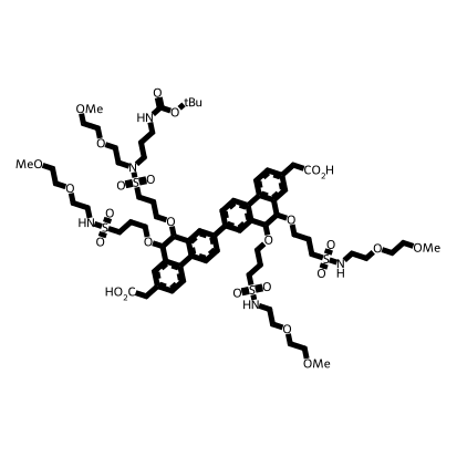 COCCOCCNS(=O)(=O)CCCOC1c2cc(CC(=O)O)ccc2-c2ccc(-c3ccc4c(c3)C(OCCCS(=O)(=O)N(CCCNC(=O)OC(C)(C)C)CCOCCOC)C(OCCCS(=O)(=O)NCCOCCOC)c3cc(CC(=O)O)ccc3-4)cc2C1OCCCS(=O)(=O)NCCOCCOC